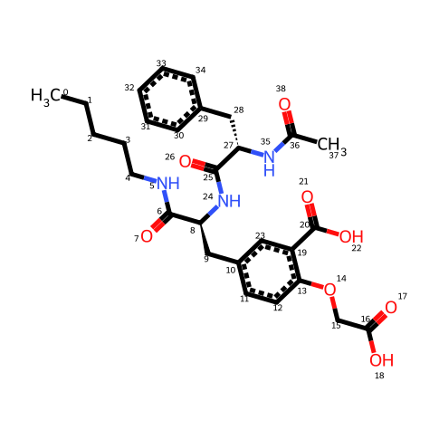 CCCCCNC(=O)[C@H](Cc1ccc(OCC(=O)O)c(C(=O)O)c1)NC(=O)[C@H](Cc1ccccc1)NC(C)=O